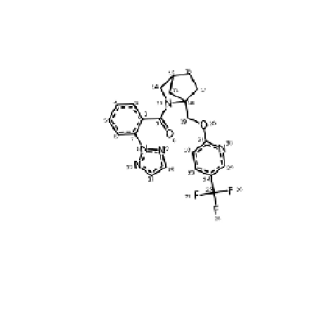 O=C(c1ccccc1-n1nccn1)N1CC2CCC1(COc1ccc(C(F)(F)F)cn1)C2